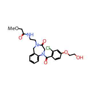 COCC(=O)NCCN1Cc2ccccc2N(C(=O)c2ccc(OCCO)cc2Cl)CC1=O